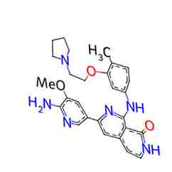 COc1cc(-c2cc3cc[nH]c(=O)c3c(Nc3ccc(C)c(OCCN4CCCC4)c3)n2)cnc1N